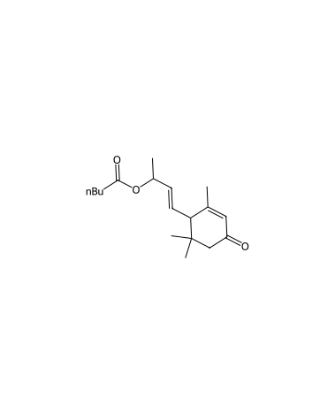 CCCCC(=O)OC(C)C=CC1C(C)=CC(=O)CC1(C)C